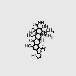 CN(C)[C@@H]1C(O)=C(C(N)=O)C(=O)[C@@]2(O)C(O)=C3C(=O)c4c(O)cc(C5CCCN5)c(C(F)(F)F)c4C[C@H]3C[C@@H]12